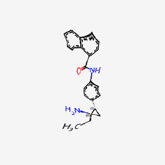 CC[C@@]1(N)C[C@H]1c1ccc(NC(=O)c2cccc3ccccc23)cc1